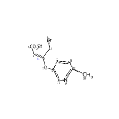 CCOC(=O)/C=C(\CBr)Oc1ccc(C)nc1